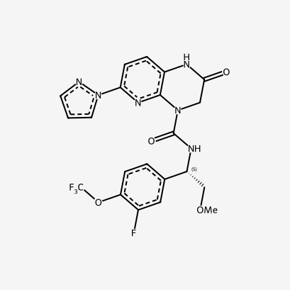 COC[C@@H](NC(=O)N1CC(=O)Nc2ccc(-n3cccn3)nc21)c1ccc(OC(F)(F)F)c(F)c1